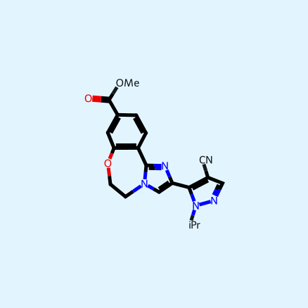 COC(=O)c1ccc2c(c1)OCCn1cc(-c3c(C#N)cnn3C(C)C)nc1-2